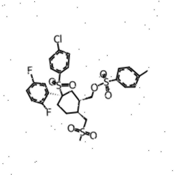 Cc1ccc(S(=O)(=O)OC[C@@H]2C[C@](c3cc(F)ccc3F)(S(=O)(=O)c3ccc(Cl)cc3)CC[C@@H]2CS(C)(=O)=O)cc1